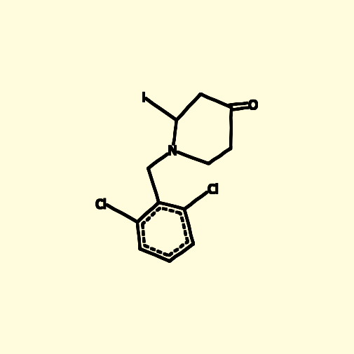 O=C1CCN(Cc2c(Cl)cccc2Cl)C(I)C1